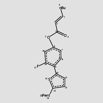 CCCCC=CC(=O)Oc1ccc(-c2ccc(CCCCC)s2)c(F)c1